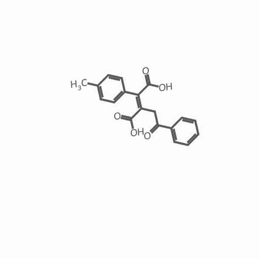 Cc1ccc(C(C(=O)O)=C(CC(=O)c2ccccc2)C(=O)O)cc1